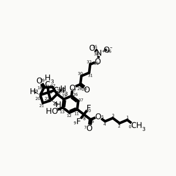 CCCCCOC(=O)C(F)(F)c1cc(O)c([C@@H]2CC(=O)[C@@H]3C[C@H]2C3(C)C)c(OC(=O)CCCO[N+](=O)[O-])c1